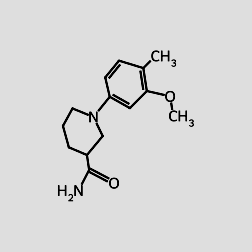 COc1cc(N2CCCC(C(N)=O)C2)ccc1C